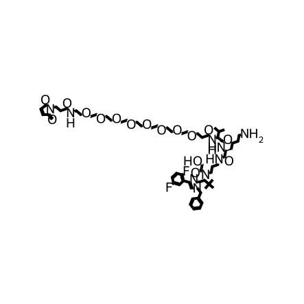 CC(C)C(NC(=O)CCOCCOCCOCCOCCOCCOCCOCCOCCNC(=O)CCN1C(=O)C=CC1=O)C(=O)N[C@@H](CCCCN)C(=O)NCCCN(C(=O)CO)[C@@H](c1nc(-c2cc(F)ccc2F)cn1Cc1ccccc1)C(C)(C)C